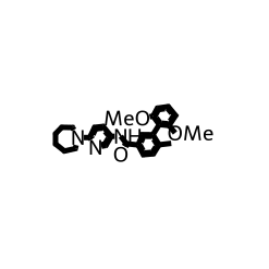 COc1cccc(OC)c1-c1cc(C(=O)Nc2ccc(N3CCCCCC3)nc2)ccc1C